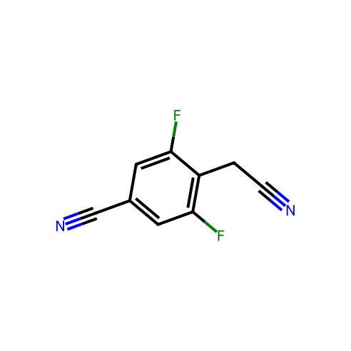 N#CCc1c(F)cc(C#N)cc1F